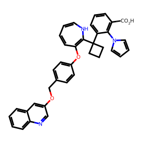 O=C(O)c1cccc(C2(C3=C(Oc4ccc(COc5cnc6ccccc6c5)cc4)C=CC=CN3)CCC2)c1-n1cccc1